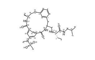 CC[C@H](NCC1Cc2cccc(c2)OC[C@H](C)NC(=O)c2cc(cc(N(C)S(C)(=O)=O)c2)C(=O)N1)C(=O)NCC(C)C